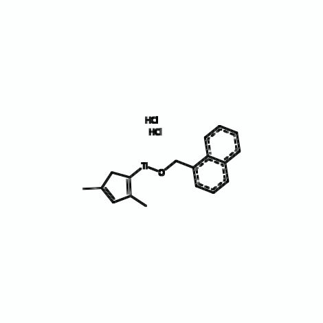 CC1=CC(C)=[C]([Ti][O]Cc2cccc3ccccc23)C1.Cl.Cl